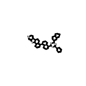 c1ccc(-c2nc(-c3ccc4ccccc4c3)nc(-c3cccc4c(-c5cccc6c5ccc5c7ccncc7sc65)cccc34)n2)cc1